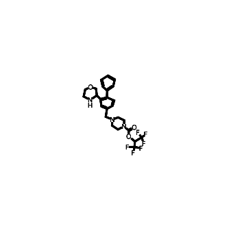 O=C(OC(C(F)(F)F)C(F)(F)F)N1CCN(Cc2ccc(-c3ccccc3)c(C3COCCN3)c2)CC1